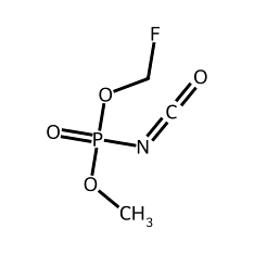 COP(=O)(N=C=O)OCF